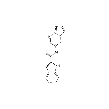 Cc1cccc2cc(C(=O)Nc3cnc4nccn4c3)[nH]c12